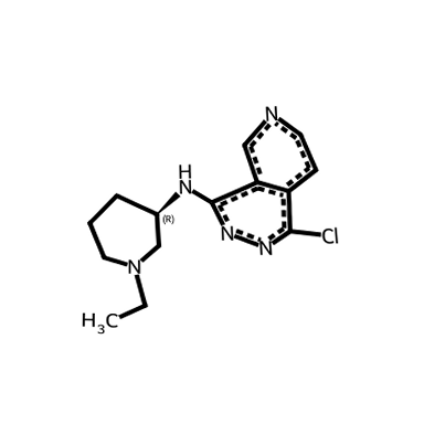 CCN1CCC[C@@H](Nc2nnc(Cl)c3ccncc23)C1